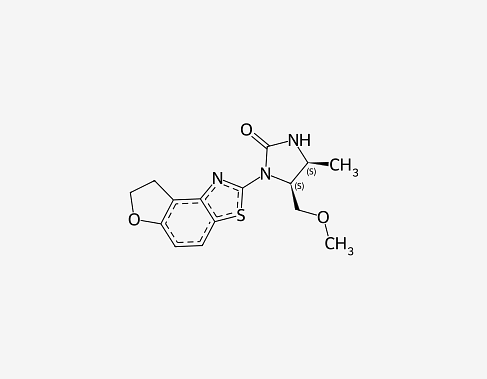 COC[C@@H]1[C@H](C)NC(=O)N1c1nc2c3c(ccc2s1)OCC3